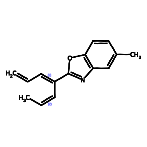 C=C/C=C(\C=C/C)c1nc2cc(C)ccc2o1